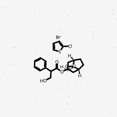 CC(C)[N+]1(C)[C@@H]2CC[C@H]1CC(OC(=O)C(CO)c1ccccc1)C2.Clc1cccs1.[Br-]